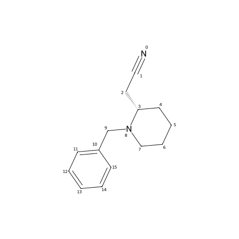 N#CC[C@@H]1CCCCN1Cc1ccccc1